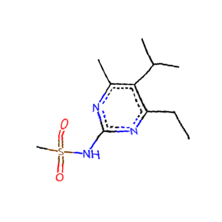 CCc1nc(NS(C)(=O)=O)nc(C)c1C(C)C